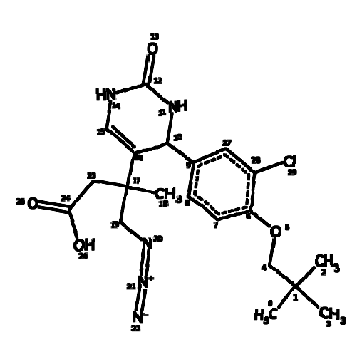 CC(C)(C)COc1ccc(C2NC(=O)NC=C2C(C)(CN=[N+]=[N-])CC(=O)O)cc1Cl